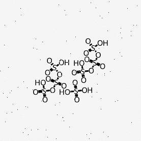 O=S(=O)(O)O.O=S(=O)(O)OS(=O)(=O)OS(=O)(=O)O.O=S(=O)(O)OS(=O)(=O)OS(=O)(=O)O